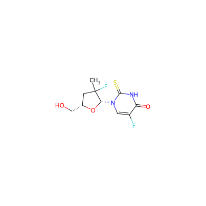 CC1(F)C[C@@H](CO)O[C@H]1n1cc(F)c(=O)[nH]c1=S